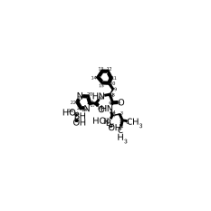 CC(C)C[C@H](NC(=O)[C@H](Cc1ccccc1)NC(=O)c1cnccn1)B(O)O.OBO